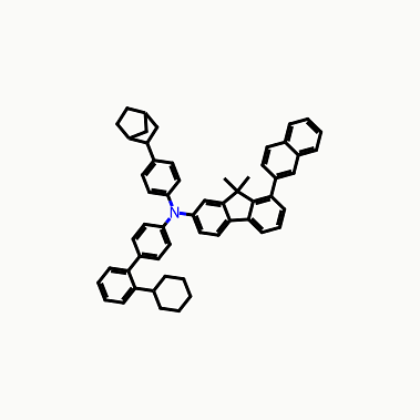 CC1(C)c2cc(N(c3ccc(-c4ccccc4C4CCCCC4)cc3)c3ccc(C4CC5CCC4C5)cc3)ccc2-c2cccc(-c3ccc4ccccc4c3)c21